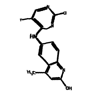 Cc1cc(O)nc2ccc(Nc3nc(Cl)ncc3F)cc12